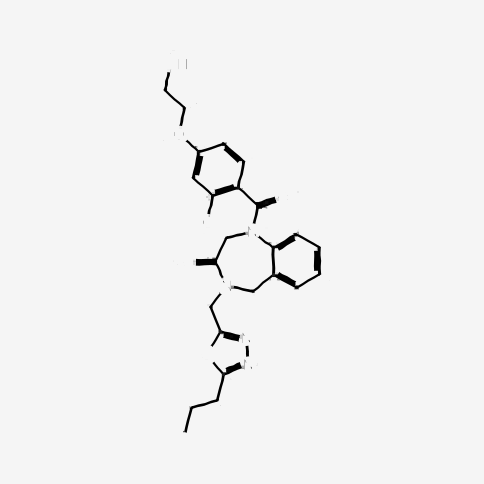 CCCc1nnc(CN2Cc3ccccc3N(C(=O)c3ccc(OCCO)cc3Cl)CC2=O)o1